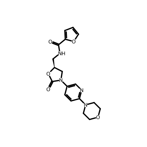 O=C(NC[C@H]1CN(c2ccc(N3CCOCC3)nc2)C(=O)O1)c1ccco1